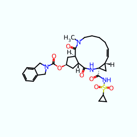 CN1CCCC/C=C\[C@@H]2C[C@@]2(C(=O)NS(=O)(=O)C2CC2)NC(=O)[C@@H]2C[C@@H](OC(=O)N3Cc4ccccc4C3)C[C@H]2C1=O